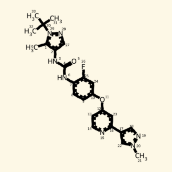 Cc1c(NC(=O)Nc2ccc(Oc3ccnc(-c4cnn(C)c4)c3)cc2F)cnn1C(C)(C)C